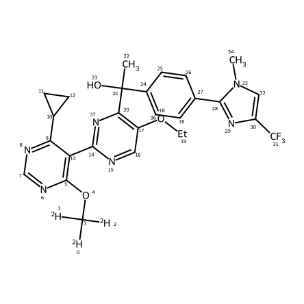 [2H]C([2H])([2H])Oc1ncnc(C2CC2)c1-c1ncc(OCC)c(C(C)(O)c2ccc(-c3nc(C(F)(F)F)cn3C)cc2)n1